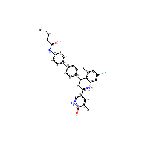 Cc1cc(F)ccc1C(C/C(=N\O)c1c[nH]c(=O)c(C)c1)c1ccc(-c2ccc(NC(=O)CCC(=O)O)cc2)cc1